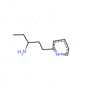 CCC(N)CCc1ccccn1